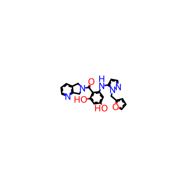 O=C(c1c(O)cc(O)cc1Nc1ccnn1Cc1ccco1)N1Cc2cccnc2C1